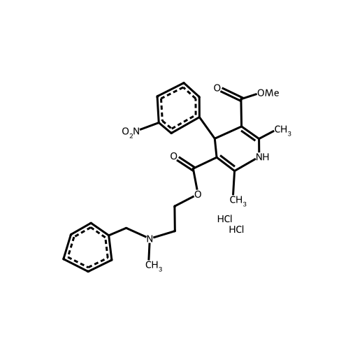 COC(=O)C1=C(C)NC(C)=C(C(=O)OCCN(C)Cc2ccccc2)C1c1cccc([N+](=O)[O-])c1.Cl.Cl